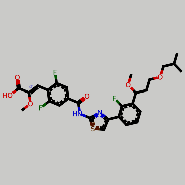 CO/C(=C\c1c(F)cc(C(=O)Nc2nc(-c3cccc(C(CCOCC(C)C)OC)c3F)cs2)cc1F)C(=O)O